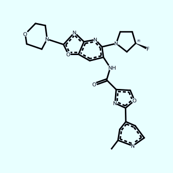 Cc1cc(-c2nc(C(=O)Nc3cc4oc(N5CCOCC5)nc4nc3N3CC[C@@H](F)C3)co2)ccn1